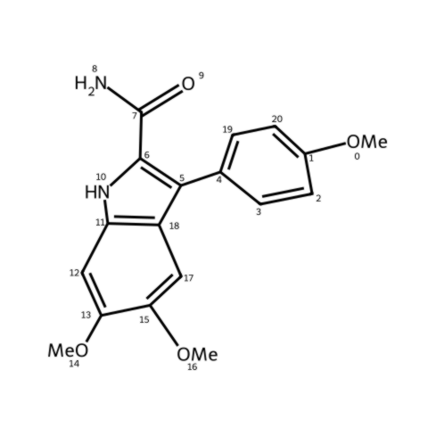 COc1ccc(-c2c(C(N)=O)[nH]c3cc(OC)c(OC)cc23)cc1